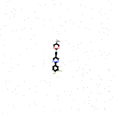 CCCC[C@H]1CO[C@H](C#Cc2cnc(-c3ccc(F)c(F)c3)nc2)OC1